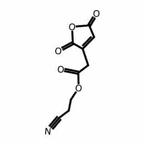 N#CCCOC(=O)CC1=CC(=O)OC1=O